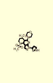 C[C@@H]1COCCN1c1nc2c(cnn2-c2cc[nH]n2)c2c1CCCN2S(C)(=O)=O